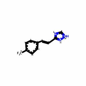 FC(F)(F)c1ccc(C=Cc2nc[nH]n2)cc1